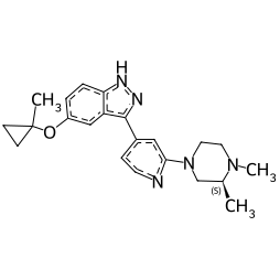 C[C@H]1CN(c2cc(-c3n[nH]c4ccc(OC5(C)CC5)cc34)ccn2)CCN1C